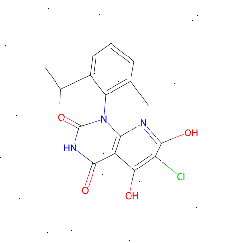 Cc1cccc(C(C)C)c1-n1c(=O)[nH]c(=O)c2c(O)c(Cl)c(O)nc21